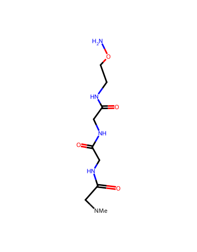 CNCC(=O)NCC(=O)NCC(=O)NCCON